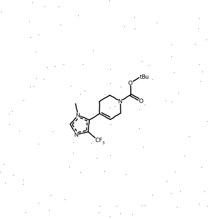 Cn1cnc(C(F)(F)F)c1C1=CCN(C(=O)OC(C)(C)C)CC1